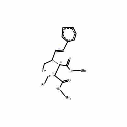 CC(C)CC(/C=C/c1ccccc1)[C@H](C(=O)OC(C)(C)C)[C@@H](CC(C)C)C(=O)NN